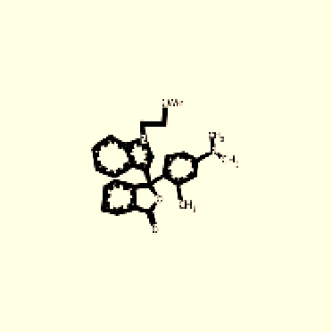 COCCn1cc(C2(c3ccc(N(C)C)cc3C)OC(=O)c3ccccc32)c2ccccc21